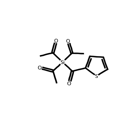 CC(=O)[Si](C(C)=O)(C(C)=O)C(=O)c1cccs1